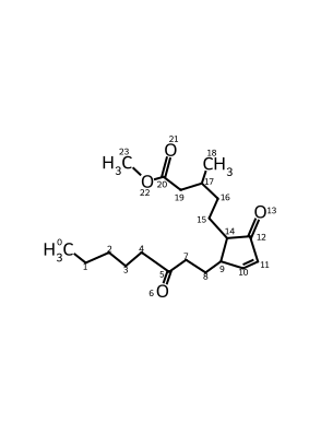 CCCCCC(=O)CCC1C=CC(=O)C1CCC(C)CC(=O)OC